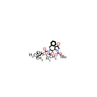 CC(C)(C)OC(=O)N1CC(=O)CC1[C@H]1OC(C)(C)N(C(=O)OCC[Si](C)(C)C)[C@H]1Cc1ccccc1